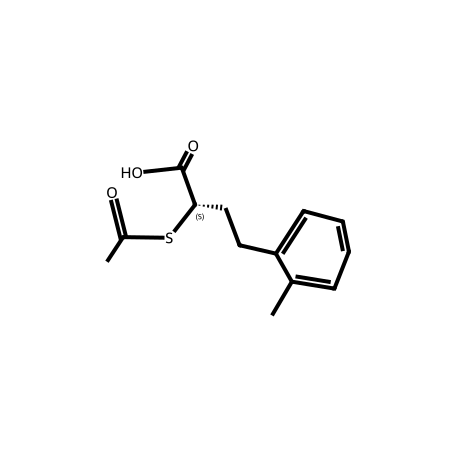 CC(=O)S[C@@H](CCc1ccccc1C)C(=O)O